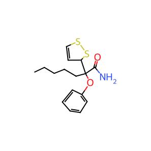 CCCCCC(Oc1ccccc1)(C(N)=O)C1C=CSS1